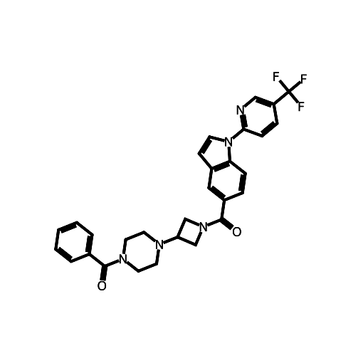 O=C(c1ccccc1)N1CCN(C2CN(C(=O)c3ccc4c(ccn4-c4ccc(C(F)(F)F)cn4)c3)C2)CC1